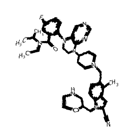 CCN(C(=O)c1cc(F)ccc1N1CCN(C2CCN(Cc3ccc4c(cc(C#N)n4CC4CNCCO4)c3C)CC2)c2ncncc21)C(C)C